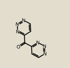 O=C(c1ccnnn1)c1ccnnn1